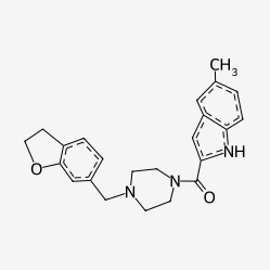 Cc1ccc2[nH]c(C(=O)N3CCN(Cc4ccc5c(c4)OCC5)CC3)cc2c1